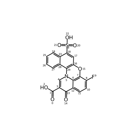 O=C(O)c1cn2c3c(c(F)ccc3c1=O)Oc1cc(S(=O)(=O)O)c3ccccc3c1-2